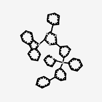 c1ccc(-c2cccc([Si](c3ccccc3)(c3ccccc3)c3cccc(-c4nc(-c5ccccc5)nc(-n5c6ccccc6c6ccccc65)n4)c3)c2)cc1